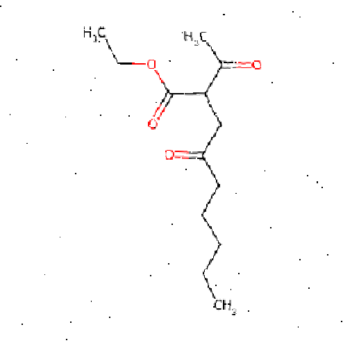 CCCCCC(=O)CC(C(C)=O)C(=O)OCC